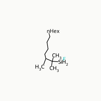 CCCCCCCCCCC(C)C(C)(C)[SiH2]F